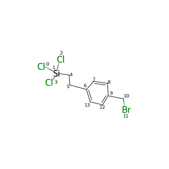 Cl[Si](Cl)(Cl)CCc1ccc(CBr)cc1